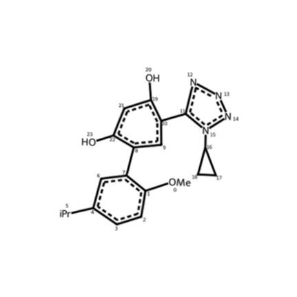 COc1ccc(C(C)C)cc1-c1cc(-c2nnnn2C2CC2)c(O)cc1O